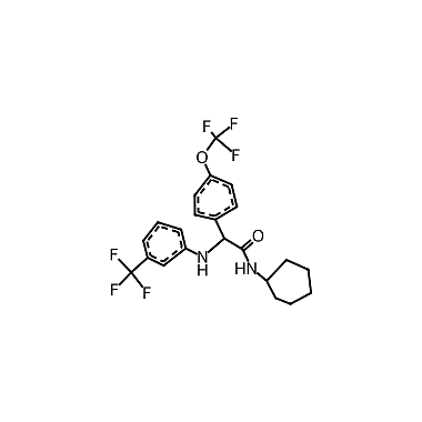 O=C(NC1CCCCC1)C(Nc1cccc(C(F)(F)F)c1)c1ccc(OC(F)(F)F)cc1